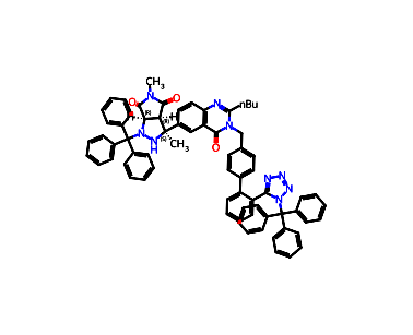 CCCCc1nc2ccc([C@@]3(C)NN(C(c4ccccc4)(c4ccccc4)c4ccccc4)[C@H]4C(=O)N(C)C(=O)[C@H]43)cc2c(=O)n1Cc1ccc(-c2ccccc2-c2nnnn2C(c2ccccc2)(c2ccccc2)c2ccccc2)cc1